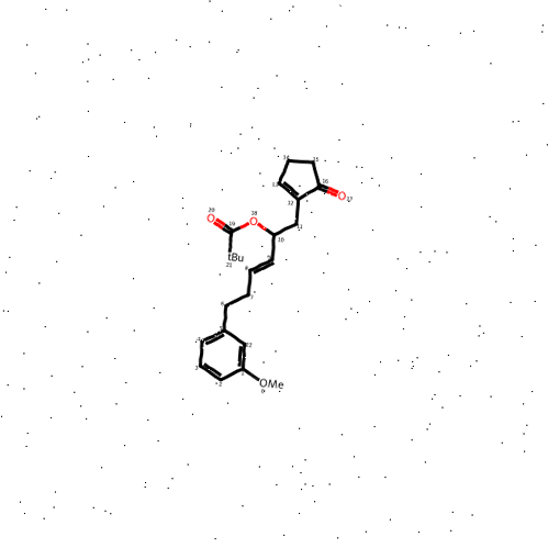 COc1cccc(CC/C=C/C(CC2=CCCC2=O)OC(=O)C(C)(C)C)c1